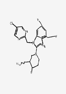 NC1CN(c2nc3c(F)cc(F)cc3n2Cc2ncc(Cl)cn2)CCC1F